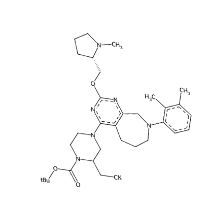 Cc1cccc(N2CCCc3c(nc(OC[C@@H]4CCCN4C)nc3N3CCN(C(=O)OC(C)(C)C)C(CC#N)C3)C2)c1C